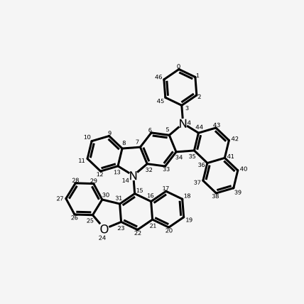 c1ccc(-n2c3cc4c5ccccc5n(-c5c6ccccc6cc6oc7ccccc7c56)c4cc3c3c4ccccc4ccc32)cc1